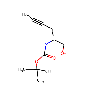 CC#CC[C@H](CO)NC(=O)OC(C)(C)C